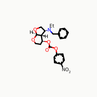 CCN(Cc1ccccc1)[C@H]1CO[C@@H]2OCC[C@H](OC(=O)Oc3ccc([N+](=O)[O-])cc3)[C@H]21